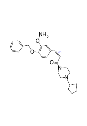 NOc1cc(/C=C\C(=O)N2CCN(C3CCCC3)CC2)ccc1OCc1ccccc1